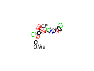 COc1ccc(COc2cc(OCC(Cl)CN3CCC4(CC3)Cc3cc(Cl)ccc3O4)c(C(=O)OC(=O)C(F)(F)F)cc2Cl)cc1